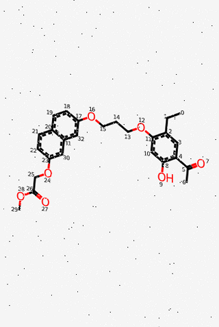 CCc1cc(C(C)=O)c(O)cc1OCCCOc1ccc2ccc(OCC(=O)OC)cc2c1